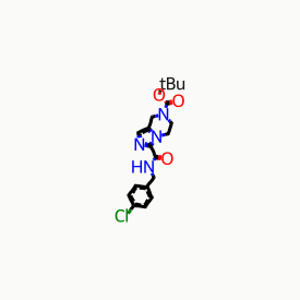 CC(C)(C)OC(=O)N1CCn2c(cnc2C(=O)NCc2ccc(Cl)cc2)C1